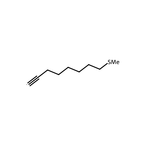 [C]#CCCCCCCSC